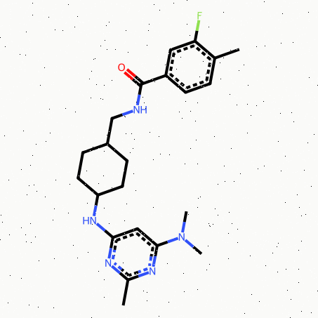 Cc1nc(NC2CCC(CNC(=O)c3ccc(C)c(F)c3)CC2)cc(N(C)C)n1